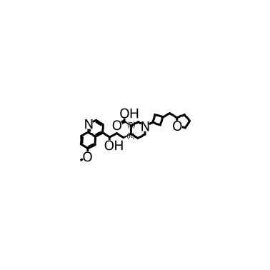 COc1ccc2nccc(C(O)CC[C@@H]3CCN(C4CC(CC5CCCO5)C4)C[C@@H]3C(=O)O)c2c1